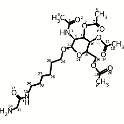 CC(=O)N[C@H]1C(OC(C)=O)[C@@H](OC(C)=O)C(COC(C)=O)O[C@H]1OCCCCCCNC(=O)CN